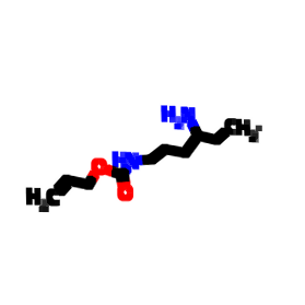 [CH2]CC(N)CCCNC(=O)OCC=C